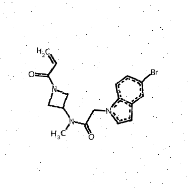 C=CC(=O)N1CC(N(C)C(=O)Cn2ccc3cc(Br)ccc32)C1